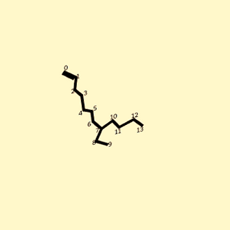 C=CCCCCCC(CC)CCCC